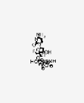 Nc1ccn([C@H]2C[C@@](O)(Cl)[C@@](CF)(COP(=O)(O)OP(=O)(O)OP(=O)(O)O)O2)c(=O)n1